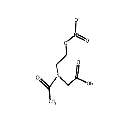 CC(=O)N(CCO[N+](=O)[O-])CC(=O)O